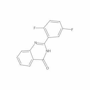 O=c1[nH]c(-c2cc(F)ccc2F)nc2ccccc12